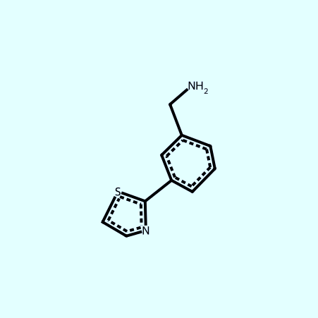 NCc1cccc(-c2nccs2)c1